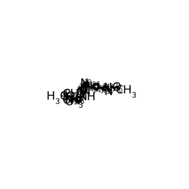 COCCn1cc(-c2ccc(-n3cnc4cnc(N[C@@H]5CCN(C(=O)OC(C)(C)C)C5)nc43)cc2)cn1